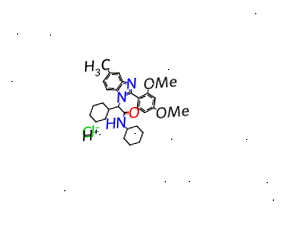 COc1ccc(-c2nc3cc(C)ccc3n2C(C(=O)NC2CCCCC2)C2CCCCC2)c(OC)c1.[Cl-].[H+]